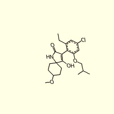 CCc1cc(Cl)cc(OCC(C)C)c1C1=C(O)C2(CCC(OC)CC2)NC1=O